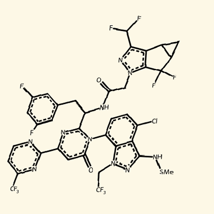 CSNc1nn(CC(F)(F)F)c2c(-n3c(C(Cc4cc(F)cc(F)c4)NC(=O)Cn4nc(C(F)F)c5c4C(F)(F)C4CC54)nc(-c4nccc(C(F)(F)F)n4)cc3=O)ccc(Cl)c12